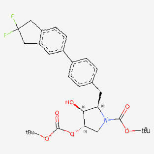 CC(C)(C)OC(=O)O[C@H]1CN(C(=O)OC(C)(C)C)[C@H](Cc2ccc(-c3ccc4c(c3)CC(F)(F)C4)cc2)[C@@H]1O